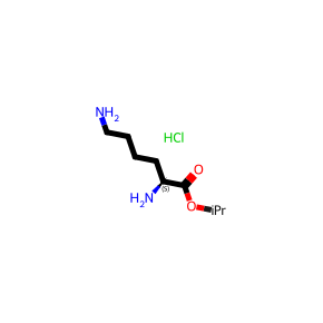 CC(C)OC(=O)[C@@H](N)CCCCN.Cl